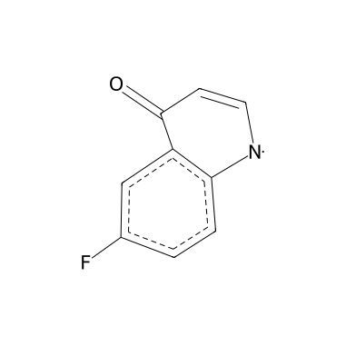 O=C1C=C[N]c2ccc(F)cc21